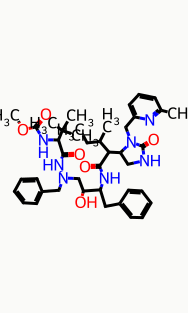 CCC(C)C(C(=O)NC(Cc1ccccc1)C(O)CN(Cc1ccccc1)NC(=O)C(NC(=O)OC)C(C)(C)C)C1CNC(=O)N1Cc1cccc(C)n1